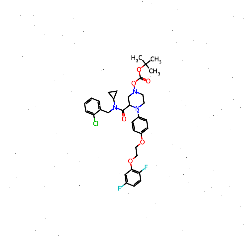 CC(C)(C)OC(=O)ON1CCN(c2ccc(OCCOc3cc(F)ccc3F)cc2)C(C(=O)N(Cc2ccccc2Cl)C2CC2)C1